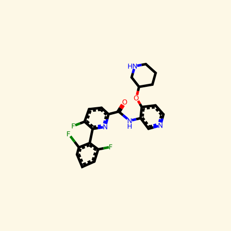 O=C(Nc1cnccc1OC1CCCNC1)c1ccc(F)c(-c2c(F)cccc2F)n1